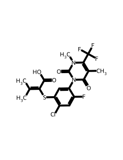 CC(C)=C(Sc1cc(-n2c(=O)c(C)c(C(F)(F)F)n(C)c2=O)c(F)cc1Cl)C(=O)O